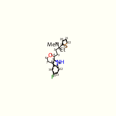 CCC(CCC1OCCc2c1[nH]c1ccc(F)cc21)(NC)c1cccs1